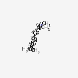 C/C=C(\C)C(=O)NCc1ccc(-c2ccc(N3CCN(C(C)C)CC3)nc2)cc1